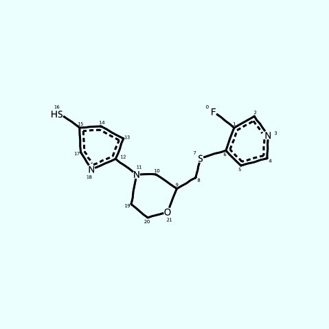 Fc1cnccc1SCC1CN(c2ccc(S)cn2)CCO1